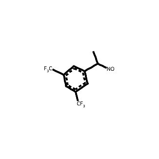 CC(N=O)c1cc(C(F)(F)F)cc(C(F)(F)F)c1